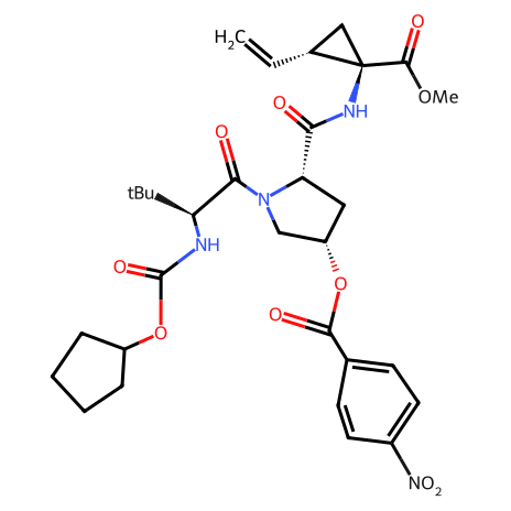 C=C[C@@H]1C[C@]1(NC(=O)[C@@H]1C[C@H](OC(=O)c2ccc([N+](=O)[O-])cc2)CN1C(=O)[C@@H](NC(=O)OC1CCCC1)C(C)(C)C)C(=O)OC